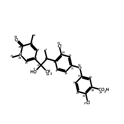 Cc1cc(C(O)(C(C)c2ccc(Oc3ccc(Cl)c(C(=O)O)c3)cc2Cl)C(F)(F)F)cn(C)c1=O